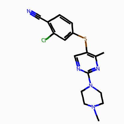 Cc1nc(N2CCN(C)CC2)ncc1Sc1ccc(C#N)c(Cl)c1